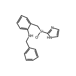 [O-][S+](Cc1ccccc1NCc1ccccc1)c1ncc[nH]1